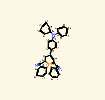 N#CC1=P(c2ccccc2)(c2ccccc2)C(C#N)CC(c2ccc(N(c3ccccc3)c3ccccc3)cc2)=C1